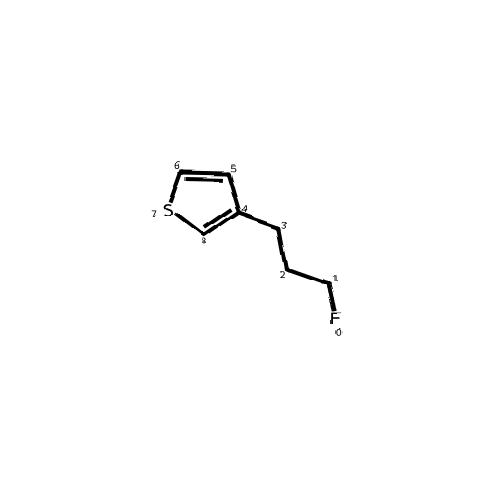 FCCCc1ccsc1